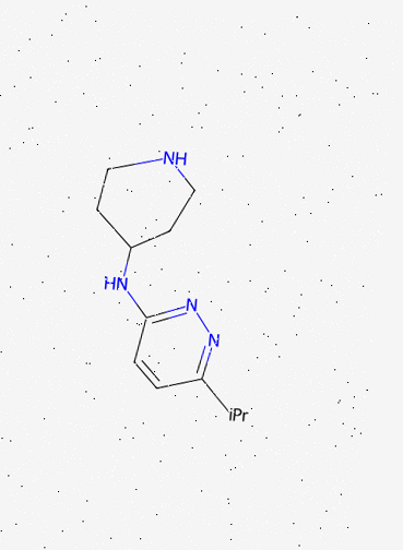 CC(C)c1ccc(NC2CCNCC2)nn1